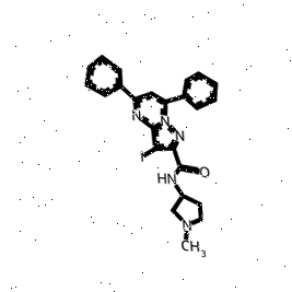 CN1CCC(NC(=O)c2nn3c(-c4ccccc4)cc(-c4ccccc4)nc3c2I)C1